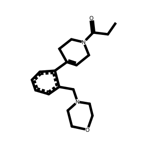 CCC(=O)N1CC=C(c2ccccc2CN2CCOCC2)CC1